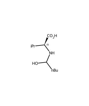 CCCCC(O)N[C@H](C(=O)O)C(C)C